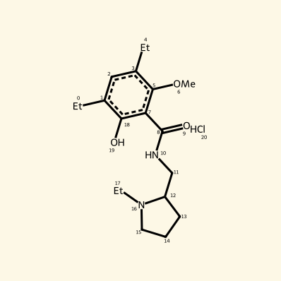 CCc1cc(CC)c(OC)c(C(=O)NCC2CCCN2CC)c1O.Cl